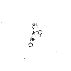 C[N+](CCCN)(CCCNCc1ccccc1)Cc1ccccc1